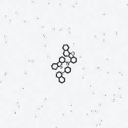 c1cc(-c2cccc3ccccc23)cc(N(c2cccc3c2sc2ccccc23)c2cccc3oc4c5ccccc5ccc4c23)c1